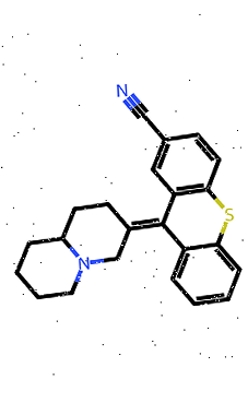 N#Cc1ccc2c(c1)C(=C1CCC3CCCCN3C1)c1ccccc1S2